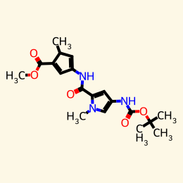 COC(=O)C1=CC(NC(=O)c2cc(NC(=O)OC(C)(C)C)cn2C)=CC1C